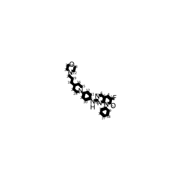 O=c1c(F)cc2cnc(Nc3ccc(N4CCC(CCCN5CCOCC5)CC4)cc3)nc2n1-c1ccccc1